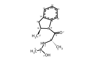 CB(O)N[C@@H](C)C(=O)N1c2ccccc2C[C@@H]1C